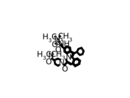 CN(C)C(=O)C1CCN(C(=O)C2=Cc3ccccc3-c3c(C4CCCCC4)c4ccc(C(=O)N[S+]([O-])N(C)C)cc4n3C2)CC1